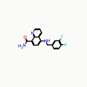 NC(=O)c1ccc(NCc2ccc(F)c(F)c2)c2cccnc12